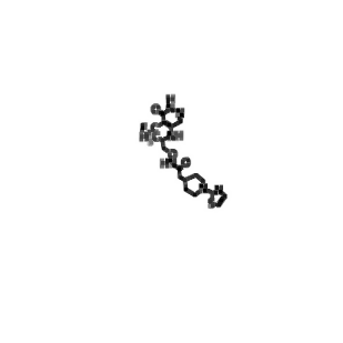 CC(CONC(=O)CC1CCN(c2nccs2)CC1)Nc1cn[nH]c(=O)c1C(F)(F)F